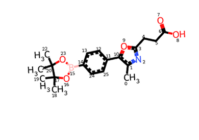 Cc1nc(CCC(=O)O)oc1-c1ccc(B2OC(C)(C)C(C)(C)O2)cc1